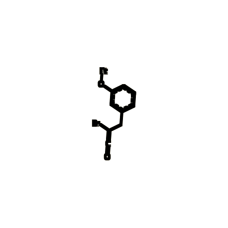 CCOc1cccc(CC(Br)=C=O)c1